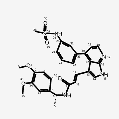 COc1ccc([C@@H](C)NC(=O)/C=C/c2c[nH]c3nccc(-c4cccc(NS(C)(=O)=O)c4)c23)cc1OC